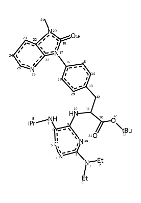 CCN(CC)c1ncc(NC(C)C)c(NC(Cc2ccc(-n3c(=O)n(C)c4cccnc43)cc2)C(=O)OC(C)(C)C)n1